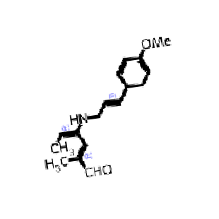 C/C=C(\C=C(/C)C=O)NC/C=C/C1C=CC(OC)=CC1